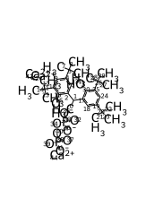 CC(c1cc(C(C)(C)C)cc(C(C)(C)C)c1O)c1cc(C(C)(C)C)cc(C(C)(C)C)c1O.O=P([O-])([O-])[O-].O=P([O-])([O-])[O-].[Ca+2].[Ca+2].[Ca+2]